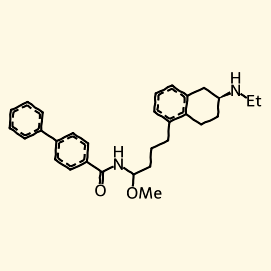 CCN[C@H]1CCc2c(CCCC(NC(=O)c3ccc(-c4ccccc4)cc3)OC)cccc2C1